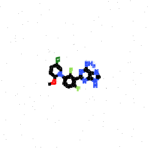 COC1C=CC(Cl)=CN1c1ccc(F)c(-c2nc(N)c3nc[nH]c3n2)c1F